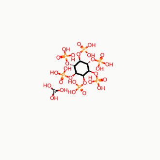 O=P(O)(O)O[C@H]1[C@H](OP(=O)(O)O)[C@@H](OP(=O)(O)O)[C@H](OP(=O)(O)O)[C@@H](OP(=O)(O)O)[C@H]1OP(=O)(O)O.OB(O)O